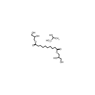 CC(O)C(=O)O.O=C(CCCCCCCCC(=O)OCC(O)CO)OCC(O)CO